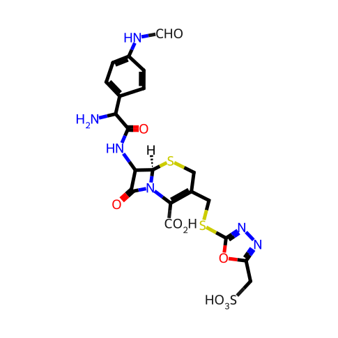 NC(C(=O)NC1C(=O)N2C(C(=O)O)=C(CSc3nnc(CS(=O)(=O)O)o3)CS[C@H]12)c1ccc(NC=O)cc1